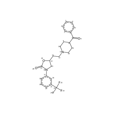 O=C(c1ccccc1)C1CCN(CCC2CN(c3cccc(C(F)(F)F)c3)C(=O)O2)CC1